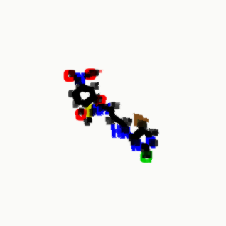 CS(=N)(=O)c1ccc([N+](=O)[O-])cc1OCCCCNc1nc(Cl)ncc1Br